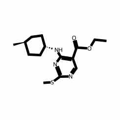 CCOC(=O)c1cnc(SC)nc1N[C@H]1CC[C@H](C)CC1